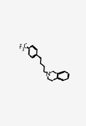 FC(F)(F)c1ccc(CCCCN2CCc3ccccc3C2)cc1